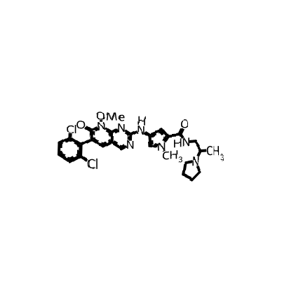 COn1c(=O)c(-c2c(Cl)cccc2Cl)cc2cnc(Nc3cc(C(=O)NCC(C)N4CCCC4)n(C)c3)nc21